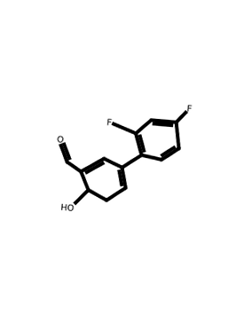 O=CC1=CC(c2ccc(F)cc2F)=CCC1O